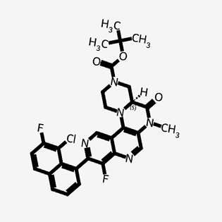 CN1C(=O)[C@@H]2CN(C(=O)OC(C)(C)C)CCN2c2c1cnc1c(F)c(-c3cccc4ccc(F)c(Cl)c34)ncc21